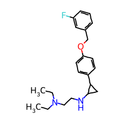 CCN(CC)CCNC1CC1c1ccc(OCc2cccc(F)c2)cc1